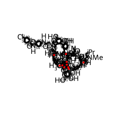 CN[C@H](CC(C)C)C(=O)N[C@H]1C(=O)N[C@@H](CC(N)=O)C(=O)NC2C(=O)N[C@H]3C(=O)N[C@H](C(=O)NC(C(=O)NCC(=O)Nc4ccc(NS(=O)(=O)c5ccc(Cl)cc5)cc4)c4cc(O)cc(O)c4-c4cc3ccc4O)[C@H](O)c3ccc(c(Cl)c3)Oc3cc2cc(c3O[C@@H]2O[C@H](CO)[C@@H](O)[C@H](O)[C@H]2OC2C[C@](C)(N)[C@H](O)[C@H](C)O2)Oc2ccc(cc2Cl)[C@H]1O